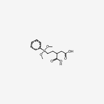 CO[Si](CCC(CC(=O)O)C(=O)O)(OC)c1ccccc1